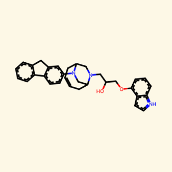 OC(COc1cccc2[nH]ccc12)CN1CC2CC=CCC1CN2c1ccc2c(c1)Cc1ccccc1-2